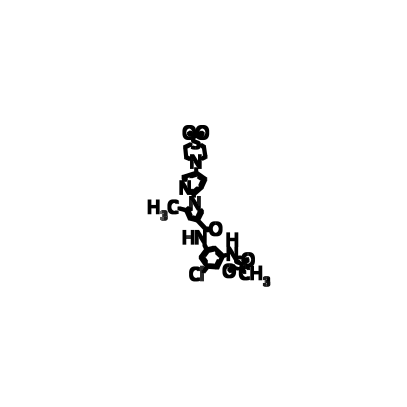 Cc1cc(C(=O)Nc2cc(Cl)cc(NS(C)(=O)=O)c2)cn1-c1ccc(N2CCS(=O)(=O)CC2)cn1